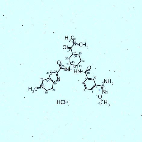 CO/N=C(/N)c1cccc(C(=O)N[C@H]2CC[C@H](C(=O)N(C)C)C[C@H]2NC(=O)c2nc3c(s2)CN(C)CC3)c1.Cl